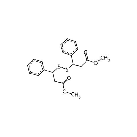 COC(=O)CC(SSC(CC(=O)OC)c1ccccc1)c1ccccc1